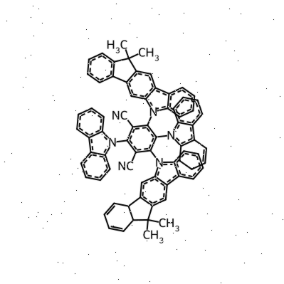 CC1(C)c2ccccc2-c2cc3c(cc21)c1ccccc1n3-c1c(C#N)c(-n2c3ccccc3c3ccccc32)c(C#N)c(-n2c3ccccc3c3cc4c(cc32)C2C=CC=CC2C4(C)C)c1-n1c2c(c3ccccc31)C=CCC2